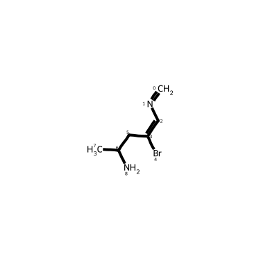 C=N/C=C(/Br)CC(C)N